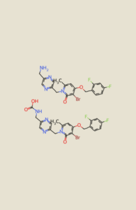 Cc1cc(OCc2ccc(F)cc2F)c(Br)c(=O)n1Cc1cnc(CN)cn1.Cc1cc(OCc2ccc(F)cc2F)c(Br)c(=O)n1Cc1cnc(CNC(=O)O)cn1